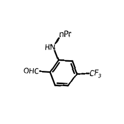 CCCNc1cc(C(F)(F)F)ccc1C=O